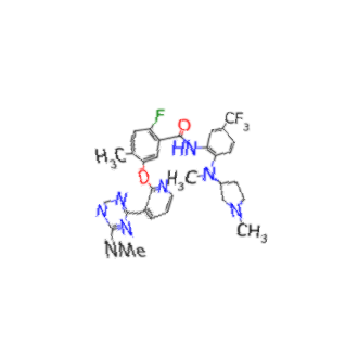 CNc1ncnc(-c2cccnc2Oc2cc(C(=O)Nc3cc(C(F)(F)F)ccc3N(C)[C@H]3CCN(C)C3)c(F)cc2C)n1